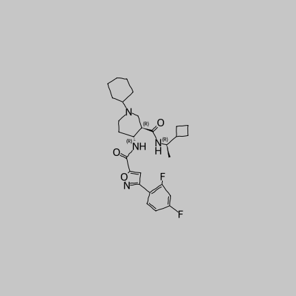 C[C@@H](NC(=O)[C@@H]1CN(C2CCCCC2)CC[C@H]1NC(=O)c1cc(-c2ccc(F)cc2F)no1)C1CCC1